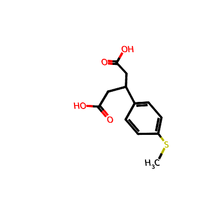 CSc1ccc(C(CC(=O)O)CC(=O)O)cc1